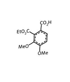 CCOC(=O)c1c(C(=O)O)ccc(OC)c1OC